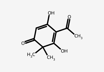 CC(=O)C1=C(O)C(C)(C)C(=O)C=C1O